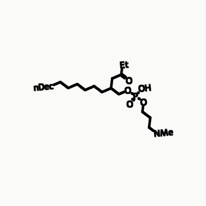 CCCCCCCCCCCCCCCCC(COP(=O)(O)OCCCNC)CC(=O)CC